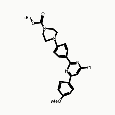 COc1ccc(-c2cc(Cl)nc(-c3ccc(N4CCN(C(=O)OC(C)(C)C)CC4)cc3)n2)cc1